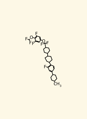 CC1CCC(c2ccc(C3CCC(C4CCC(C(F)(F)Oc5cc(F)c(OC(F)F)c(F)c5)CC4)CC3)c(F)c2)CC1